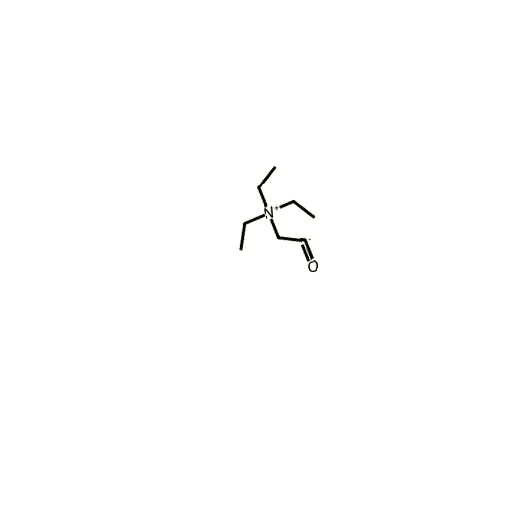 CC[N+](CC)(CC)C[C]=O